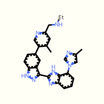 CCNCc1cc(C)c(-c2ccc3[nH]nc(-c4nc5cccc(-n6cnc(C)c6)c5[nH]4)c3c2)cn1